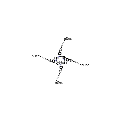 CCCCCCCCCCCCCCCCCCOCc1ccc(/C2=C3\C=CC(N3)/C(c3ccc(COCCCCCCCCCCCCCCCCCC)cc3)=c3/cc/c([nH]3)=C(\c3ccc(COCCCCCCCCCCCCCCCCCC)cc3)C3C=C/C(=C(\c4ccc(COCCCCCCCCCCCCCCCCCC)cc4)c4ccc2[nH]4)N3)cc1